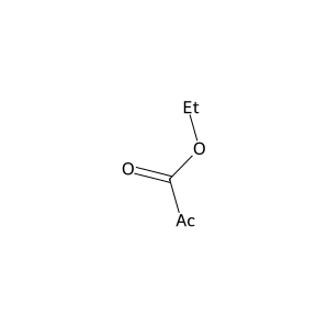 [CH2]COC(=O)C(C)=O